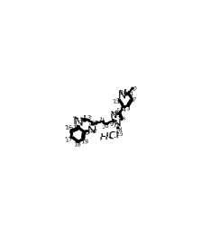 Cc1ccc(-c2cn(C)c(CCc3cnc4ccccc4n3)n2)cn1.Cl